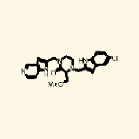 COCC1C(=O)N(Cc2cc3cnccc3[nH]2)CCN1Cc1cc2cc(Cl)ccc2[nH]1